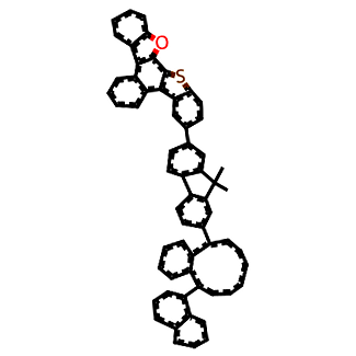 CC1(C)c2cc(-c3ccc4sc5c6oc7ccccc7c6c6ccccc6c5c4c3)ccc2-c2ccc(-c3ccccccc(-c4cccc5ccccc45)c4ccccc34)cc21